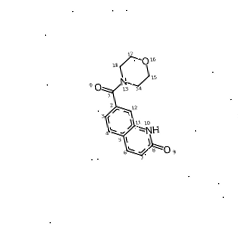 O=C(c1ccc2ccc(=O)[nH]c2c1)N1CCOCC1